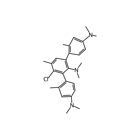 Cc1cc(N(C)C)ccc1-c1cc(C)c(Cl)c(-c2ccc(N(C)C)cc2C)c1N(C)C